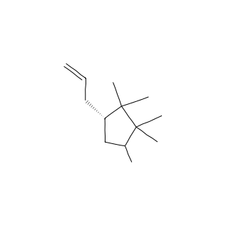 C=CC[C@H]1CC(C)C(C)(C)C1(C)C